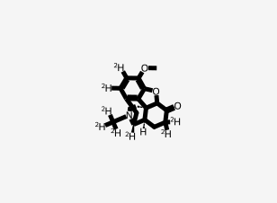 [2H]c1c([2H])c(OC)c2c3c1C[C@]1([2H])[C@@H]4CC([2H])([2H])C(=O)C(O2)[C@]34CCN1C([2H])([2H])[2H]